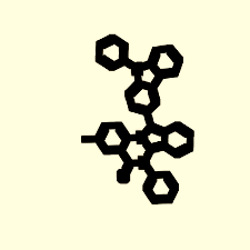 Cc1ccc2c(c1)c(=O)n(-c1ccccc1)c1c3ccccc3c(-c3ccc4c(c3)c3ccccc3n4-c3ccccc3)n21